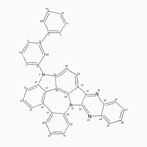 c1ccc(-c2cccc(-n3c4cccc5c6ccccc6n6c7nc8ccccc8nc7c7ccc3c(c54)c76)c2)cc1